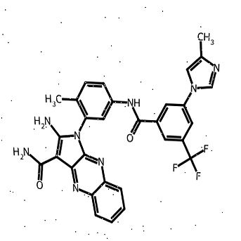 Cc1cn(-c2cc(C(=O)Nc3ccc(C)c(-n4c(N)c(C(N)=O)c5nc6ccccc6nc54)c3)cc(C(F)(F)F)c2)cn1